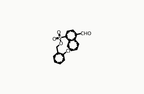 O=Cc1ccc(S(=O)(=O)OCc2ccccc2Cl)c2ccccc12